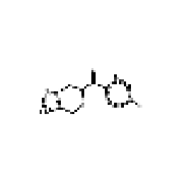 Cc1ccc(C(=O)C2CCc3[nH]cnc3C2)nc1